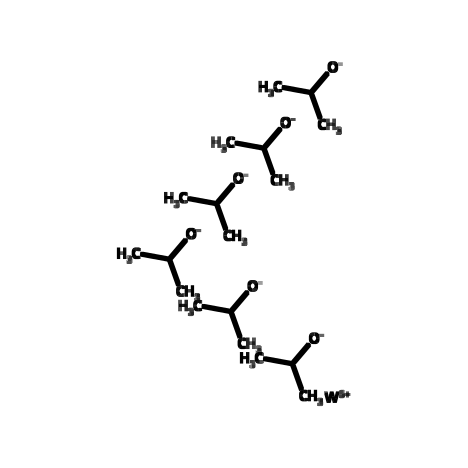 CC(C)[O-].CC(C)[O-].CC(C)[O-].CC(C)[O-].CC(C)[O-].CC(C)[O-].[W+6]